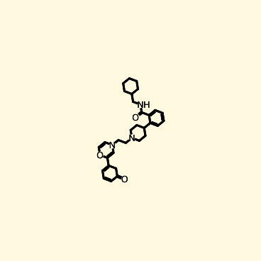 O=C1C=CC=C(C2=CN(CCN3CCC(c4ccccc4C(=O)NCC4CCCCC4)CC3)C=CO2)C1